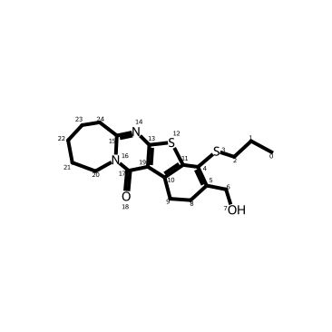 CCCSC1=C(CO)CCc2c1sc1nc3n(c(=O)c21)CCCCC3